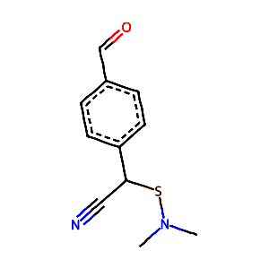 CN(C)SC(C#N)c1ccc(C=O)cc1